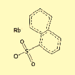 O=S(=O)([O-])c1cccc2ccccc12.[Rb+]